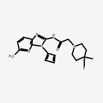 Cc1ccc2nc(NC(=O)CN3CCC(F)(F)CC3)n(C3=CC=C3)c2n1